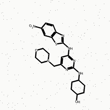 O=[N+]([O-])c1ccc2nc(Nc3cc(CN4CCOCC4)nc(NC4CCC(O)CC4)n3)sc2c1